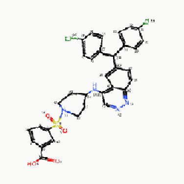 O=C(O)c1cccc(S(=O)(=O)N2CCC(Nc3cnnc4ccc(C(c5ccc(Cl)cc5)c5ccc(Cl)cc5)cc34)CC2)c1